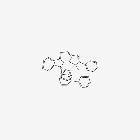 CC1(c2ccccc2)c2c(ccc3c4ccccc4n(-c4cccc(-c5ccccc5)c4)c23)NC1c1ccccc1